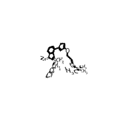 C[Si](C)(C)OCCOC1=CCC(c2cccc3c2C2=C([CH]3[Zr+2])[Si]2(C)C)=C1.[Cl-].[Cl-]